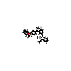 O=C(NC(c1ccccn1)C1CC1)c1ccc2[nH]nc(-c3ccc(OC4CC5CCC(C4)N5C4COC4)cc3)c2c1